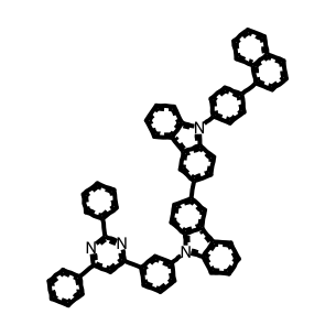 c1ccc(-c2cc(-c3cccc(-n4c5ccccc5c5cc(-c6ccc7c(c6)c6ccccc6n7-c6ccc(-c7cccc8ccccc78)cc6)ccc54)c3)nc(-c3ccccc3)n2)cc1